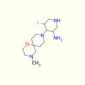 CN1CCOC2(CCN(C3C(N)CNCC3F)CC2)C1